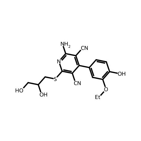 CCOc1cc(-c2c(C#N)c(N)nc(SCC(O)CO)c2C#N)ccc1O